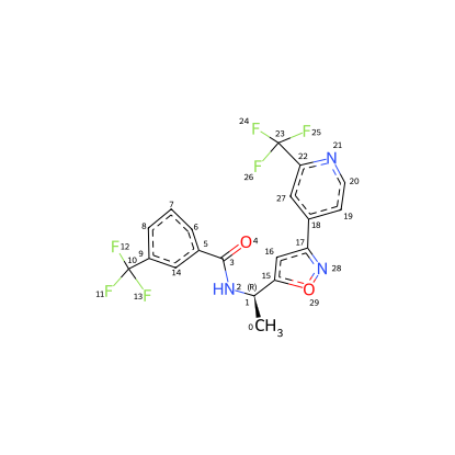 C[C@@H](NC(=O)c1cccc(C(F)(F)F)c1)c1cc(-c2ccnc(C(F)(F)F)c2)no1